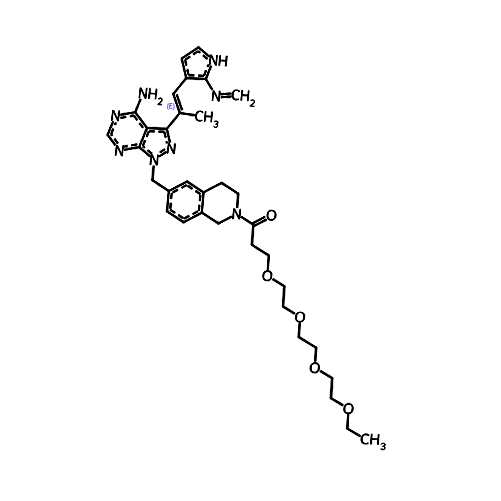 C=Nc1[nH]ccc1/C=C(\C)c1nn(Cc2ccc3c(c2)CCN(C(=O)CCOCCOCCOCCOCC)C3)c2ncnc(N)c12